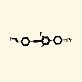 CCC[C@H]1CC[C@H](c2cc(F)c(C#C[C@H]3CC[C@H](C=CF)CC3)c(F)c2)CC1